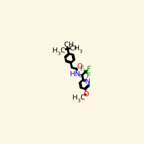 COc1ccc([C@H](NC(=O)Cc2ccc(C(C)(C)C)cc2)C(F)(F)F)nc1